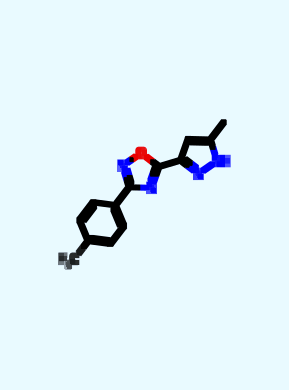 Cc1cc(-c2nc(-c3ccc(C(F)(F)F)cc3)no2)n[nH]1